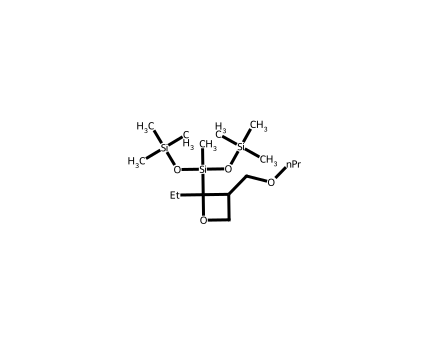 CCCOCC1COC1(CC)[Si](C)(O[Si](C)(C)C)O[Si](C)(C)C